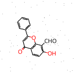 O=Cc1c(O)ccc2c(=O)cc(-c3ccccc3)oc12